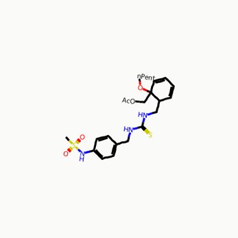 CCCCCOC1(COC(C)=O)C=CC=CC1CNC(=S)NCc1ccc(NS(C)(=O)=O)cc1